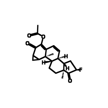 CC(=O)OC1=C2C=C[C@H]3[C@@H]4C[C@@H](F)C(=O)[C@@]4(C)CC[C@@H]3[C@@]2(C)C2CC2C1=O